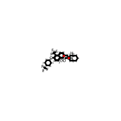 COC(=O)C1CC2CCC[C@H](C1)N2CCc1ccc2c(C(F)(F)F)c(O[C@H]3CC[C@@H](C(F)(F)F)CC3)ccc2c1